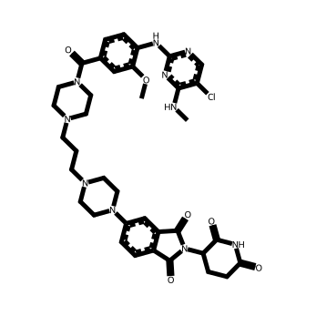 CNc1nc(Nc2ccc(C(=O)N3CCN(CCCN4CCN(c5ccc6c(c5)C(=O)N(C5CCC(=O)NC5=O)C6=O)CC4)CC3)cc2OC)ncc1Cl